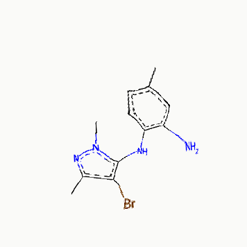 Cc1ccc(Nc2c(Br)c(C)nn2C)c(N)c1